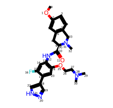 COc1ccc2c(c1)C[C@H](C(=O)Nc1cc(F)c(-c3cn[nH]c3)cc1OCCN(C)C)N(C)C2